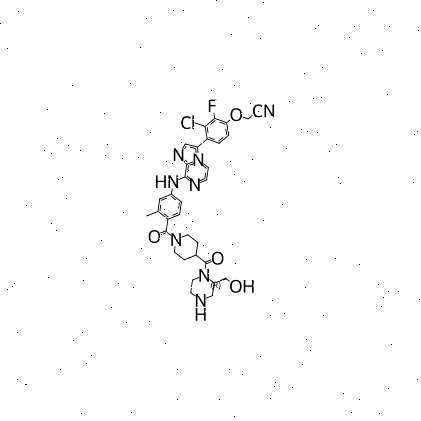 Cc1cc(Nc2nccn3c(-c4ccc(OCC#N)c(F)c4Cl)cnc23)ccc1C(=O)N1CCC(C(=O)N2CCNC[C@@H]2CO)CC1